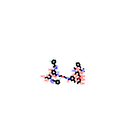 CCC1CC(C(=O)NCCOCCNC(=O)C2CC(n3cc(-c4cccc(F)c4)nn3)C(O)[C@H](O[C@@H]3OC(CO)[C@H](O)C(n4cc(-c5cccc(F)c5)nn4)C3O)C2)C[C@@H](O[C@@H]2OC(CO)[C@H](O)C(O[C@@H](CC3CCCCC3)C(=O)N(C)C)C2NC(C)=O)C1O[C@@H]1OC(C)[C@@H](O)C(O)C1O